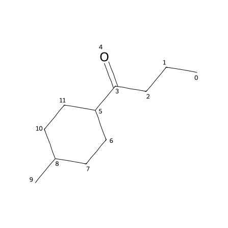 CCCC(=O)C1CCC(C)CC1